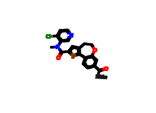 CNC(=O)c1ccc2c(c1)OCCc1cc(C(=O)N(C)c3cnccc3Cl)sc1-2